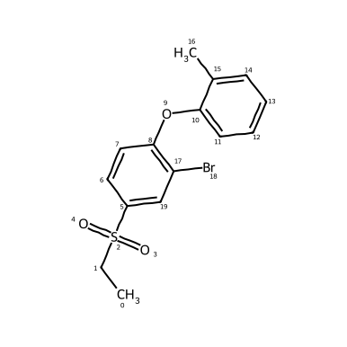 CCS(=O)(=O)c1ccc(Oc2ccccc2C)c(Br)c1